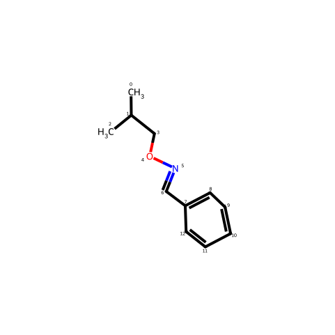 CC(C)CON=Cc1c[c]ccc1